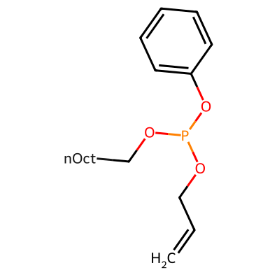 C=CCOP(OCCCCCCCCC)Oc1ccccc1